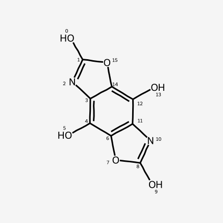 Oc1nc2c(O)c3oc(O)nc3c(O)c2o1